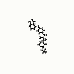 O=C(Nc1ccc(Oc2ncnc3[nH]ncc23)cc1)Nc1cccc(OC(F)(F)F)c1